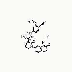 Cl.N#Cc1ccc(NC(=O)[C@H](O)[C@H]2OCCN(c3ccc4c(c3)NC(=O)CC4)C2=O)cc1CN